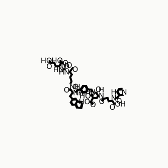 O=C(O)CCC(NC(=O)NC(CCCCNC(=O)C(Cc1ccc2ccccc2c1)NC(=O)c1ccc(CNC(=O)C(CC(C(=O)O)C(=O)O)NC(=O)CCC(NC(=O)c2cccnc2)C(=O)O)cc1)C(=O)O)C(=O)O